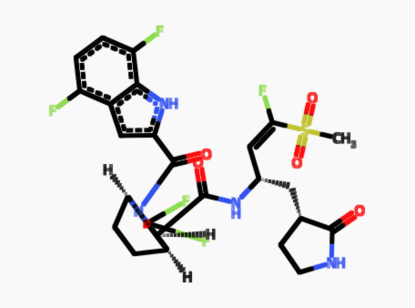 CS(=O)(=O)/C(F)=C\[C@H](C[C@H]1CCNC1=O)NC(=O)[C@H]1[C@H]2CC[C@H](CC2(F)F)N1C(=O)c1cc2c(F)ccc(F)c2[nH]1